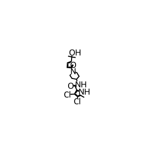 Cc1[nH]c(C(=O)NC2CCN(c3ccc(C(C)(C)O)o3)CC2)c(Cl)c1Cl